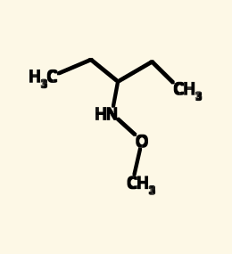 CCC(CC)NOC